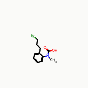 CN(C(=O)O)c1ccccc1CCCBr